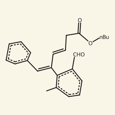 CCCCOC(=O)CC=CC(=Cc1ccccc1)c1c(C)cccc1C=O